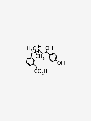 CC(C)(Cc1cccc(CC(=O)O)c1)NCC(O)c1ccc(O)cc1